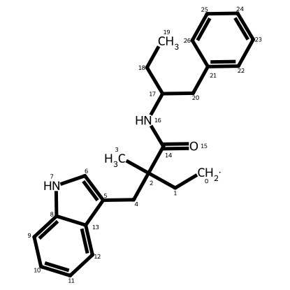 [CH2]CC(C)(Cc1c[nH]c2ccccc12)C(=O)NC(CC)Cc1ccccc1